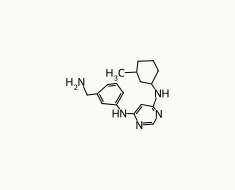 CC1CCCC(Nc2cc(Nc3cccc(CN)c3)ncn2)C1